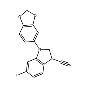 N#CC1CN(c2ccc3c(c2)OCO3)c2cc(F)ccc21